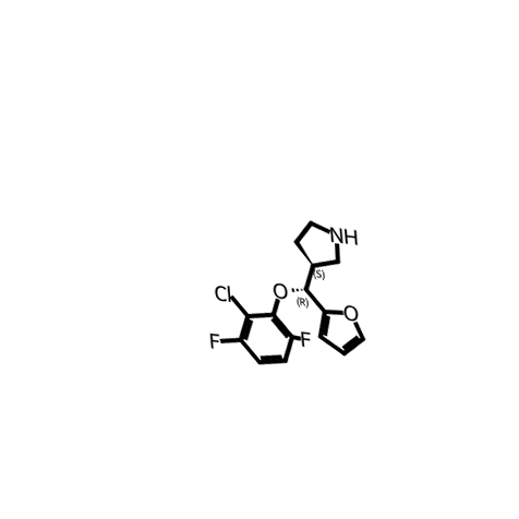 Fc1ccc(F)c(O[C@@H](c2ccco2)[C@H]2CCNC2)c1Cl